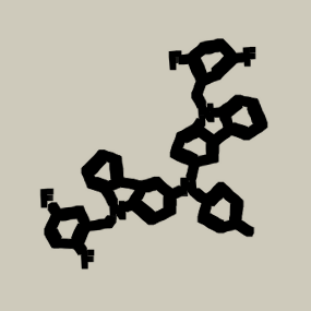 Cc1ccc(N(c2ccc3c(c2)c2ccccc2n3Cc2cc(F)ccc2F)c2ccc3c(c2)c2ccccc2n3Cc2cc(F)ccc2F)cc1